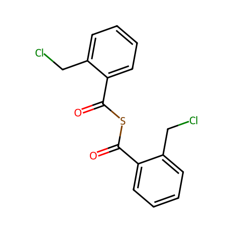 O=C(SC(=O)c1ccccc1CCl)c1ccccc1CCl